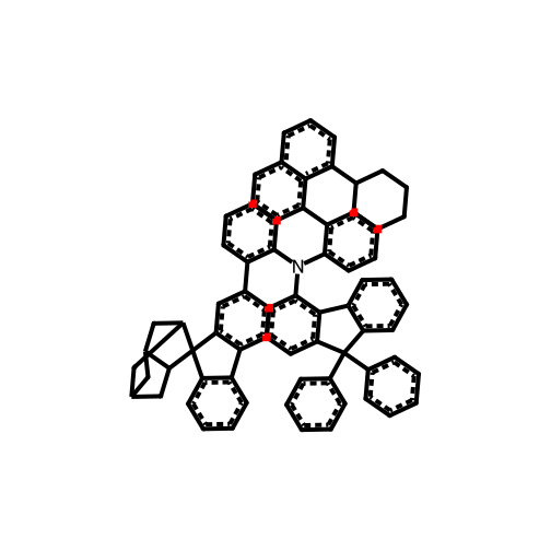 c1ccc(C2(c3ccccc3)c3ccccc3-c3c(N(c4ccccc4-c4ccc5c(c4)C4(c6ccccc6-5)C5CC6CC(C5)C4C6)c4ccccc4-c4cccc5cccc(C6CCCCC6)c45)cccc32)cc1